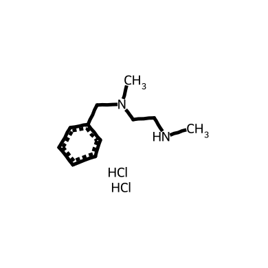 CNCCN(C)Cc1ccccc1.Cl.Cl